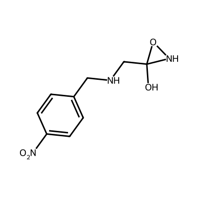 O=[N+]([O-])c1ccc(CNCC2(O)NO2)cc1